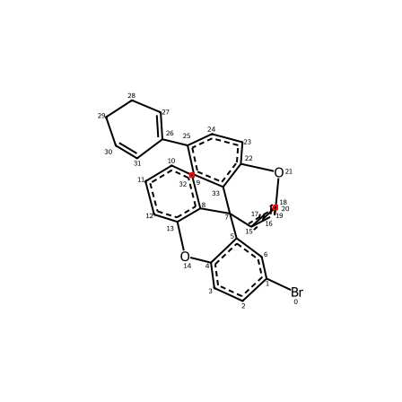 Brc1ccc2c(c1)C1(c3ccccc3O2)c2ccccc2Oc2ccc(C3=CCCC=C3)cc21